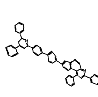 C1=C(c2ccccc2)CC(c2ccccc2)N=C1c1ccc(-c2ccc(-c3ccc4c(ccc5nc(-c6ccccc6)cc(-c6ccccc6)c54)c3)cc2)cc1